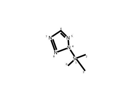 C[Si](C)(C)n1n[c]nn1